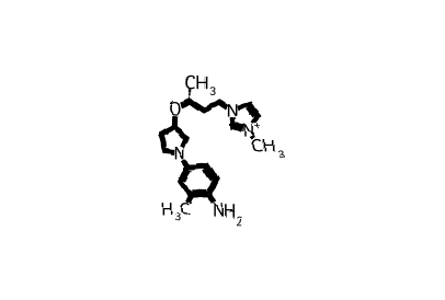 Cc1cc(N2CCC(O[C@H](C)CCn3cc[n+](C)c3)C2)ccc1N